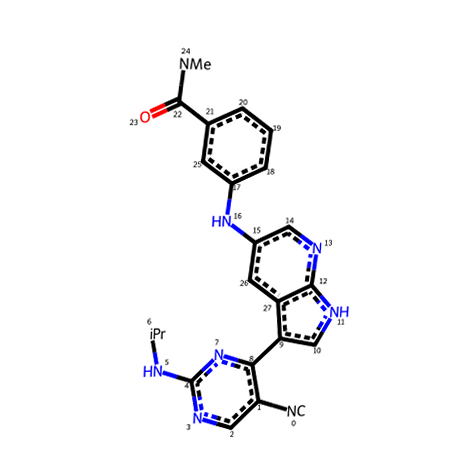 [C-]#[N+]c1cnc(NC(C)C)nc1-c1c[nH]c2ncc(Nc3cccc(C(=O)NC)c3)cc12